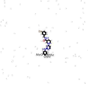 COc1cc(Nc2nccc(N3CCCC(C(=O)NCc4cccc(Br)c4)C3)n2)cc(OC)c1OC